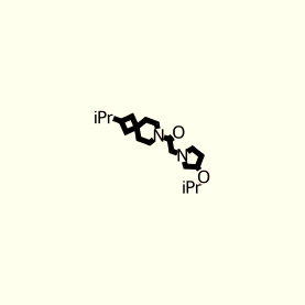 CC(C)OC1CCN(CC(=O)N2CCC3(CC2)CC(C(C)C)C3)C1